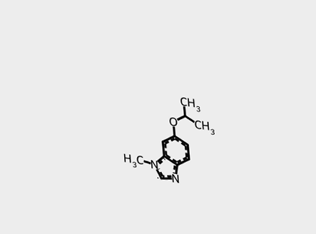 CC(C)Oc1ccc2n[c]n(C)c2c1